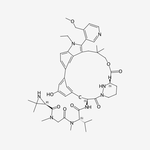 CCn1c(-c2cnccc2COC)c2c3cc(ccc31)-c1cc(O)cc(c1)C[C@H](NC(=O)[C@H](C(C)C)N(C)C(=O)CN(C)C(=O)[C@@H]1NC1(C)C)C(=O)N1CCC[C@H](N1)C(=O)OCC(C)(C)C2